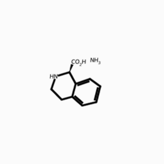 N.O=C(O)[C@@H]1NCCc2ccccc21